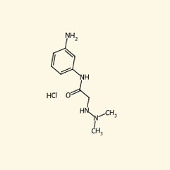 CN(C)NCC(=O)Nc1cccc(N)c1.Cl